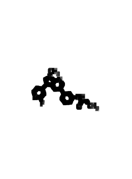 C=CC(=O)Nc1cccc(-c2cnc3c(c2)c(-c2ccnc(F)c2)cn3C)c1